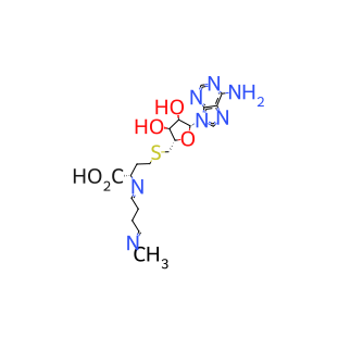 CN=CCC/C=N/[C@@H](CCSC[C@H]1O[C@@H](n2cnc3c(N)ncnc32)[C@H](O)[C@@H]1O)C(=O)O